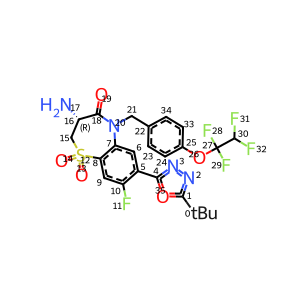 CC(C)(C)c1nnc(-c2cc3c(cc2F)S(=O)(=O)C[C@H](N)C(=O)N3Cc2ccc(OC(F)(F)C(F)F)cc2)o1